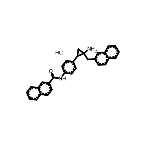 Cl.NC1(Cc2ccc3ccccc3c2)CC1c1ccc(NC(=O)c2ccc3ccccc3c2)cc1